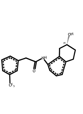 O=C(Cc1cccc(C(F)(F)F)c1)Nc1cccc2c1C[C@H](O)CC2